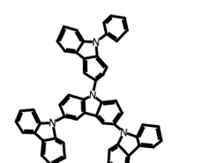 c1ccc(-n2c3ccccc3c3cc(-n4c5ccc(-n6c7ccccc7c7ccccc76)cc5c5cc(-n6c7ccccc7c7ccccc76)ccc54)ccc32)cc1